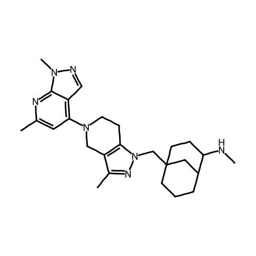 CNC1CCC2(Cn3nc(C)c4c3CCN(c3cc(C)nc5c3cnn5C)C4)CCCC1C2